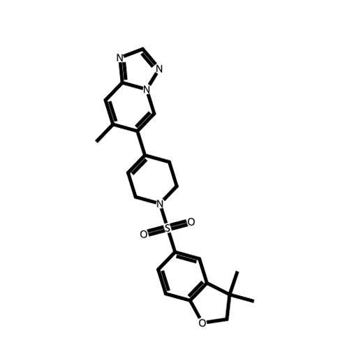 Cc1cc2ncnn2cc1C1=CCN(S(=O)(=O)c2ccc3c(c2)C(C)(C)CO3)CC1